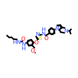 CCCCCNC(=O)Nc1ccc(Oc2cnc(NC(=O)c3ccc(-n4ccc5c4CCN(C(C)C)C5)cc3)s2)c(COC)c1